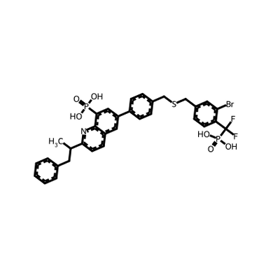 CC(Cc1ccccc1)c1ccc2cc(-c3ccc(CSCc4ccc(C(F)(F)P(=O)(O)O)c(Br)c4)cc3)cc(P(=O)(O)O)c2n1